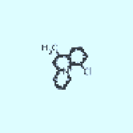 Cc1cc2cccc[n+]2c2c(Cl)cccc12